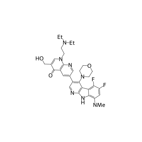 CCN(CC)CCn1cc(CO)c(=O)c2cc(-c3cnc4[nH]c5c(NC)cc(F)c(F)c5c4c3N3CCOCC3)cnc21